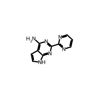 Nc1nc(-c2ncccn2)nc2[nH]ccc12